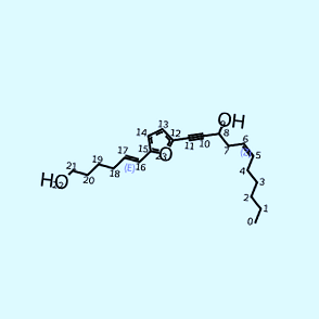 CCCCC/C=C\CC(O)C#Cc1ccc(/C=C/CCCCO)o1